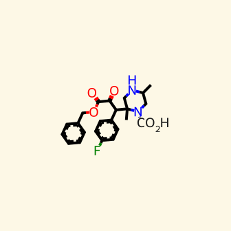 CC1CN(C(=O)O)C(C)(C(C(=O)C(=O)OCc2ccccc2)c2ccc(F)cc2)CN1